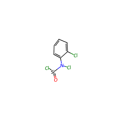 O=[Si](Cl)N(Cl)c1ccccc1Cl